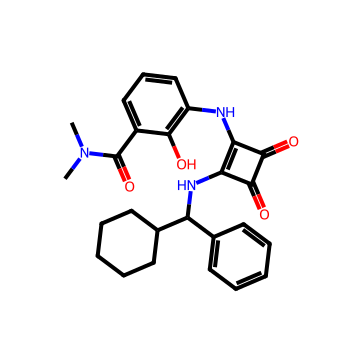 CN(C)C(=O)c1cccc(Nc2c(NC(c3ccccc3)C3CCCCC3)c(=O)c2=O)c1O